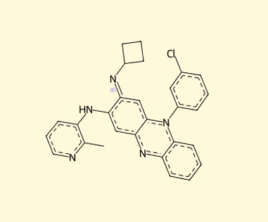 Cc1ncccc1Nc1cc2nc3ccccc3n(-c3cccc(Cl)c3)c-2c/c1=N\C1CCC1